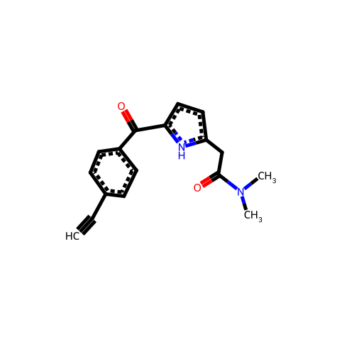 C#Cc1ccc(C(=O)c2ccc(CC(=O)N(C)C)[nH]2)cc1